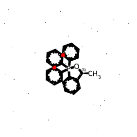 C[C@@H]1OP(c2ccccc2)(c2ccccc2)(c2ccccc2)c2ccccc21